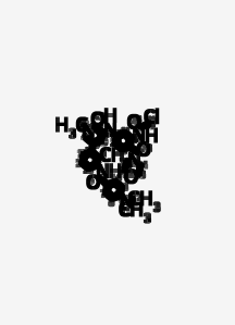 Cc1c(NC(=O)c2ccc(N(C)C)cc2)cccc1-c1cc(Nc2ccc(C(=O)N3CCOCC3)c(NC(=O)CCl)c2)c(=O)n(C)c1